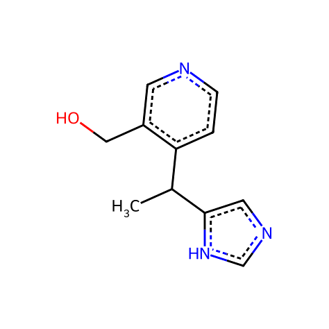 CC(c1cnc[nH]1)c1ccncc1CO